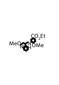 CCOC(=O)c1ccc(OC)c(NCC(CC(=N)OC)c2ccccc2)c1